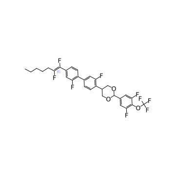 CCCCC/C(F)=C(\F)c1ccc(-c2ccc(C3COC(c4cc(F)c(OC(F)(F)F)c(F)c4)OC3)c(F)c2)c(F)c1